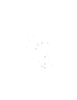 CCC(=O)O[C@@]1(C(=O)COC(C)=O)CC[C@H](O)[C@@]2(F)[C@@H](CCC3=CC(=O)C=C[C@@]32C)[C@@H](C)C[C@@H]1C